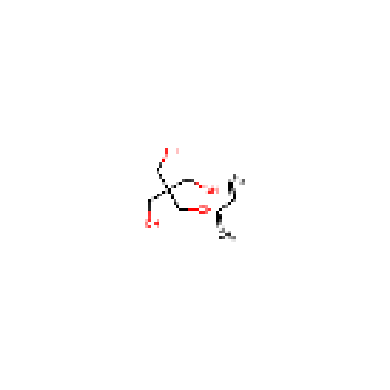 C=CC=C.OCC(CO)(CO)CO